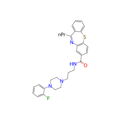 CCCC1=Nc2cc(C(=O)NCCCN3CCN(c4ccccc4F)CC3)ccc2Sc2ccccc21